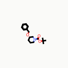 CC(C)(C)OC(=O)N1CCC[C@H](OCc2ccccc2)C1